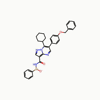 O=C(N[S+]([O-])c1ccccc1)c1cnn2c(C3CCCCC3)c(-c3ccc(OCc4ccccc4)cc3)cnc12